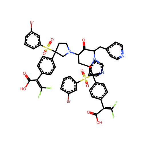 O=C(O)C(=C(F)F)c1ccc(C2(S(=O)(=O)c3cccc(Br)c3)CCN(C(Cc3ccncc3)C(=O)C(Cc3ccncc3)N3CCC(c4ccc(C(C(=O)O)=C(F)F)cc4)(S(=O)(=O)c4cccc(Br)c4)C3)C2)cc1